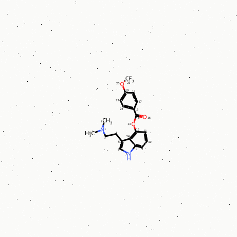 CN(C)CCc1c[nH]c2cccc(OC(=O)c3ccc(OC(F)(F)F)cc3)c12